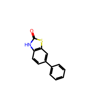 O=c1[nH]c2ccc(-c3ccccc3)cc2s1